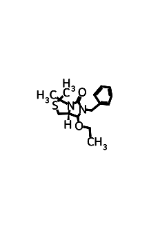 CCOC1[C@@H]2CSC(C)(C)N2C(=O)N1Cc1ccccc1